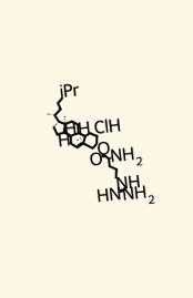 CC(C)CCC[C@@H](C)[C@H]1CC[C@H]2[C@@H]3CC=C4CC(OC(=O)[C@@H](N)CCCNC(=N)N)CC[C@]4(C)[C@H]3CC[C@]12C.Cl